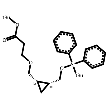 CC(C)(C)OC(=O)CCOC[C@H]1C[C@H]1CO[Si](c1ccccc1)(c1ccccc1)C(C)(C)C